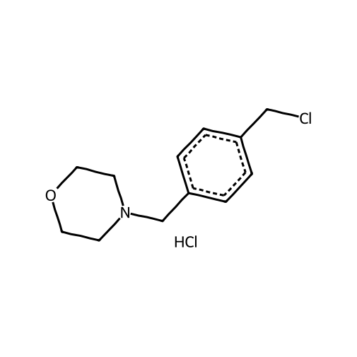 Cl.ClCc1ccc(CN2CCOCC2)cc1